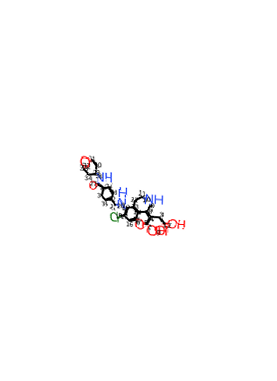 O=C(O)CC(C(=O)O)C1CNCCc2c1ccc(Cl)c2NCc1ccc(C(=O)NC2CCOCC2)cc1